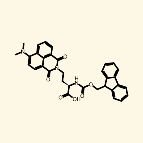 CN(C)c1ccc2c3c(cccc13)C(=O)N(CC[C@@H](NC(=O)OCC1c3ccccc3-c3ccccc31)C(=O)O)C2=O